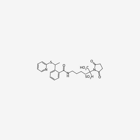 CC(Sc1ccccn1)c1ccccc1C(=O)NCCCCC(C(=O)O)(N1C(=O)CCC1=O)S(=O)(=O)O